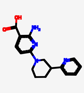 Nc1nc(N2CCCC(c3ccccn3)C2)ccc1C(=O)O